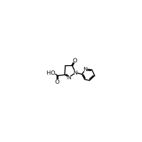 O=C(O)C1=NN(c2ccccn2)C(=O)C1